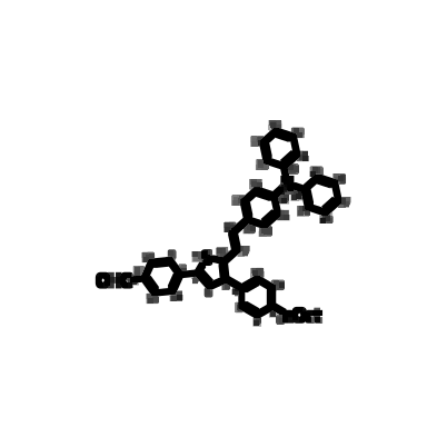 CCCCCCCCc1ccc(-c2cc(-c3ccc(C=O)cc3)sc2C=Cc2ccc(N(c3ccccc3)c3ccccc3)cc2)cc1